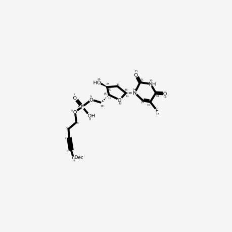 CCCCCCCCCCC#CCCOP(=O)(O)OC[C@H]1O[C@@H](n2cc(F)c(=O)[nH]c2=O)C[C@@H]1O